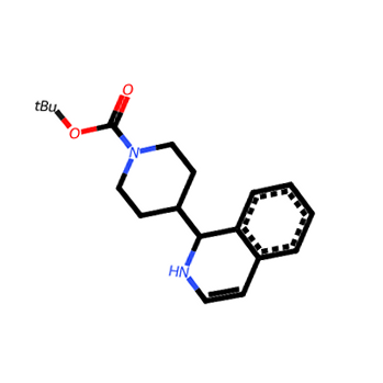 CC(C)(C)OC(=O)N1CCC(C2NC=Cc3ccccc32)CC1